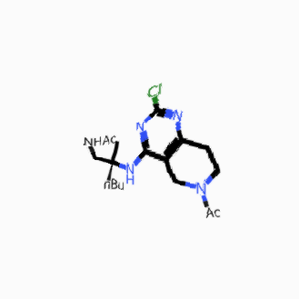 CCCC[C@](C)(CNC(C)=O)Nc1nc(Cl)nc2c1CN(C(C)=O)CC2